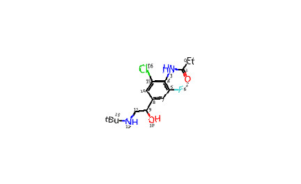 CCC(=O)Nc1c(F)cc(C(O)CNC(C)(C)C)cc1Cl